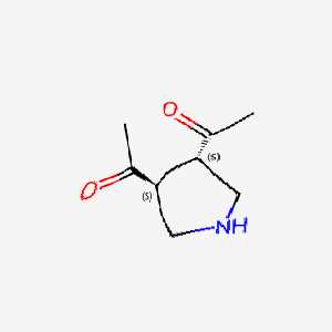 CC(=O)[C@@H]1CNC[C@H]1C(C)=O